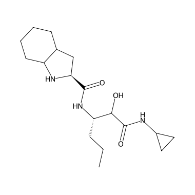 CCC[C@H](NC(=O)[C@@H]1CC2CCCCC2N1)C(O)C(=O)NC1CC1